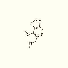 C[N]Cc1ccc2c(c1OC)OCO2